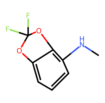 CNc1cccc2c1OC(F)(F)O2